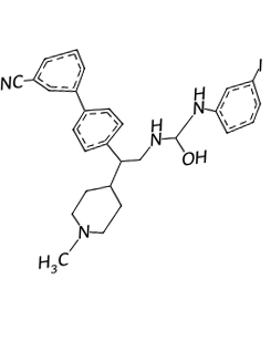 CN1CCC(C(CNC(O)Nc2cccc(I)c2)c2ccc(-c3cccc(C#N)c3)cc2)CC1